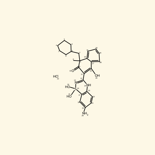 CC1(CC2CCCCC2)C(=O)C(C2=NS(O)(O)c3cc(N)ccc3N2)=C(O)c2ccccc21.Cl